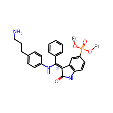 CCOP(=O)(OCC)c1ccc2c(c1)/C(=C(/Nc1ccc(CCCN)cc1)c1ccccc1)C(=O)N2